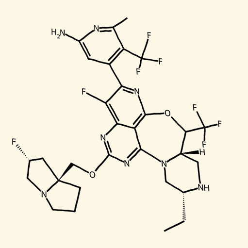 CC[C@@H]1CN2c3nc(OC[C@@]45CCCN4C[C@H](F)C5)nc4c(F)c(-c5cc(N)nc(C)c5C(F)(F)F)nc(c34)OC(C(F)(F)F)[C@@H]2CN1